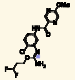 COc1cnc(C(=O)Nc2ccc(Cl)c(/N=C(/N)OCCC(F)F)c2)cn1